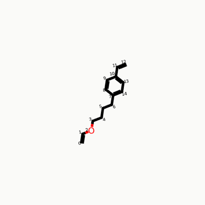 C=COCCCCc1ccc(C=C)cc1